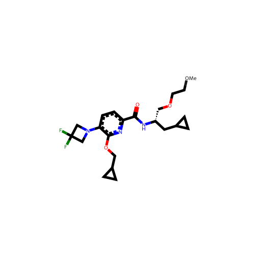 COCCOC[C@H](CC1CC1)NC(=O)c1ccc(N2CC(F)(F)C2)c(OCC2CC2)n1